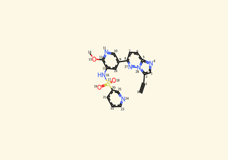 C#Cc1cnc2ccc(-c3cnc(OC)c(NS(=O)(=O)c4cccnc4)c3)nn12